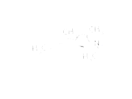 C/C=N\c1ccc(C(C)CCCC)cc1C